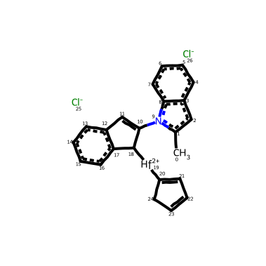 Cc1cc2ccccc2n1C1=Cc2ccccc2[CH]1[Hf+2][C]1=CC=CC1.[Cl-].[Cl-]